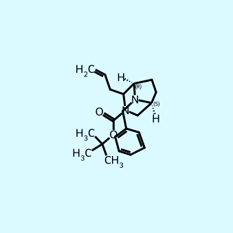 C=CCC1[C@H]2CC[C@@H](CN1C(=O)OC(C)(C)C)N2Cc1ccccc1